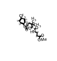 COC(=O)CCNC(=O)[C@@H]1OP(=O)(Oc2ccc(C(F)(F)F)cc2)OCC1(C)C